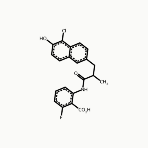 CC(Cc1ccc2c(Cl)c(O)ccc2c1)C(=O)Nc1cccc(F)c1C(=O)O